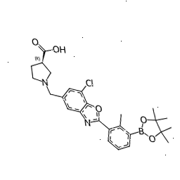 Cc1c(B2OC(C)(C)C(C)(C)O2)cccc1-c1nc2cc(CN3CC[C@@H](C(=O)O)C3)cc(Cl)c2o1